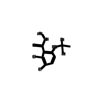 CCCNC(=O)c1c(NC(C)(CC)CC)ccc(Cl)c1Cl